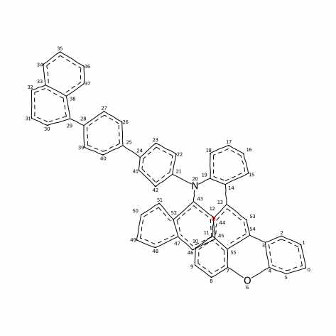 c1ccc2c(c1)Oc1cccc3cc(-c4ccccc4N(c4ccc(-c5ccc(-c6cccc7ccccc67)cc5)cc4)c4cccc5ccccc45)cc-2c13